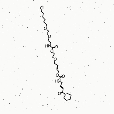 O=C(NC/C=C/C(=O)N1CCCCC1)OC/C=C/COCCOC(=O)NCCOCCOCCCCCCCl